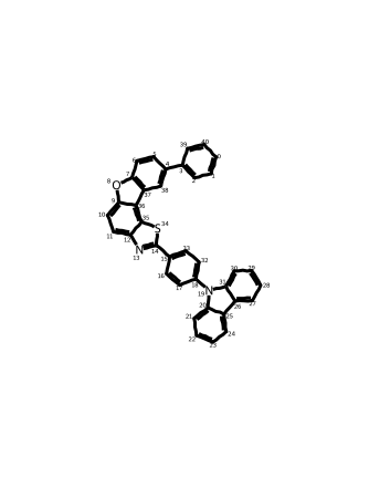 c1ccc(-c2ccc3oc4ccc5nc(-c6ccc(-n7c8ccccc8c8ccccc87)cc6)sc5c4c3c2)cc1